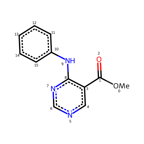 COC(=O)c1cncnc1Nc1ccccc1